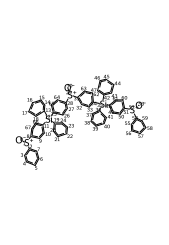 [O-][S+](c1ccccc1)c1ccc([Si](c2ccccc2)(c2ccccc2)c2ccc([S+]([O-])c3ccc([Si](c4ccccc4)(c4ccccc4)c4ccc([S+]([O-])c5ccccc5)cc4)cc3)cc2)cc1